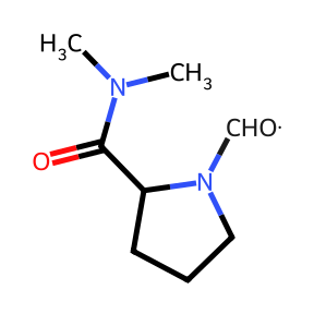 CN(C)C(=O)C1CCCN1[C]=O